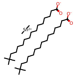 CC(C)(C)CCCCCCCCCCCCCC(=O)[O-].CC(C)(C)CCCCCCCCCCCCCC(=O)[O-].[CH3][Sn+2][CH3]